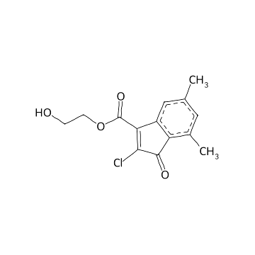 Cc1cc(C)c2c(c1)C(C(=O)OCCO)=C(Cl)C2=O